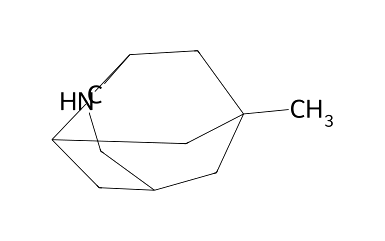 CC12CC3CNC(CC(C3)C1)C2